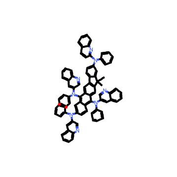 CC1(C)c2cc(N(c3ccccc3)c3ccc4ccccc4n3)ccc2-c2cc3c(N(c4ccccc4)c4cnc5ccccc5c4)c4cc(N(c5ccccc5)c5cnc6ccccc6c5)ccc4c(N(c4ccccc4)c4cnc5ccccc5c4)c3cc21